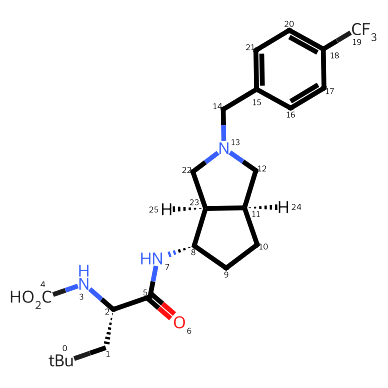 CC(C)(C)C[C@H](NC(=O)O)C(=O)N[C@H]1CC[C@@H]2CN(Cc3ccc(C(F)(F)F)cc3)C[C@@H]21